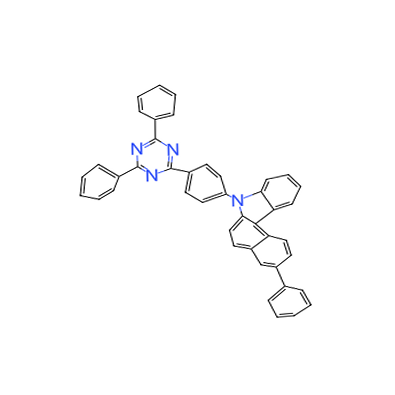 c1ccc(-c2ccc3c(ccc4c3c3ccccc3n4-c3ccc(-c4nc(-c5ccccc5)nc(-c5ccccc5)n4)cc3)c2)cc1